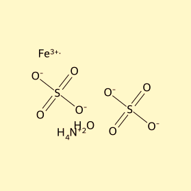 O.O=S(=O)([O-])[O-].O=S(=O)([O-])[O-].[Fe+3].[NH4+]